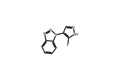 Fc1[nH]ncc1-n1nnc2ccccc21